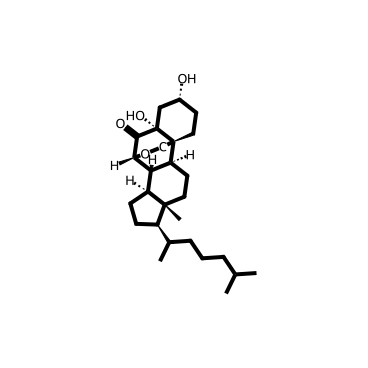 CC(C)CCCC(C)[C@H]1CC[C@H]2[C@@H]3[C@H]4OC[C@@]5(CC[C@@H](O)C[C@]5(O)C4=O)[C@H]3CC[C@]12C